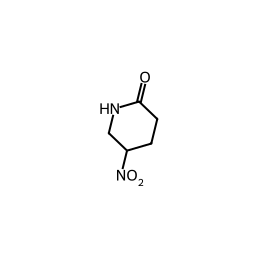 O=C1CCC([N+](=O)[O-])CN1